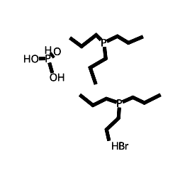 Br.CCCP(CCC)CCC.CCCP(CCC)CCC.O=[PH](O)O